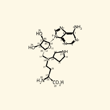 Nc1ncnc2c1ncn2[C@@H]1O[C@H](CN(CC[C@H](N)C(=O)O)C2CCNC2)[C@@H](O)[C@H]1O